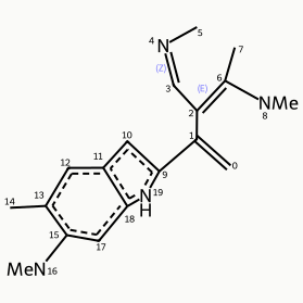 C=C(C(/C=N\C)=C(/C)NC)c1cc2cc(C)c(NC)cc2[nH]1